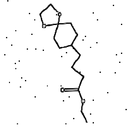 CCOC(=O)CCCC1CCC2(CC1)OCCO2